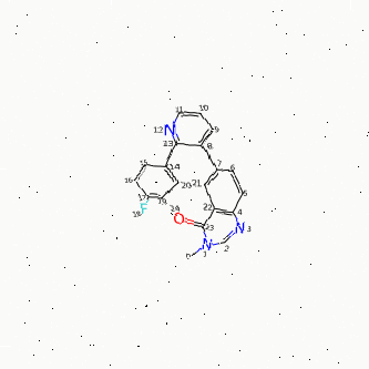 Cn1cnc2ccc(-c3cccnc3-c3ccc(F)cc3)cc2c1=O